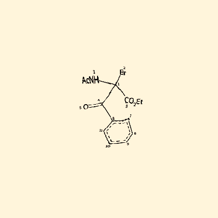 CCOC(=O)C(Br)(NC(C)=O)C(=O)c1ccccc1